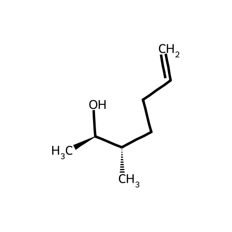 C=CCC[C@H](C)[C@@H](C)O